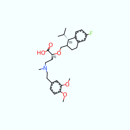 COc1ccc(CCN(C)CC[C@H](OCC2CCc3cc(F)ccc3[C@H]2C(C)C)C(=O)O)cc1OC